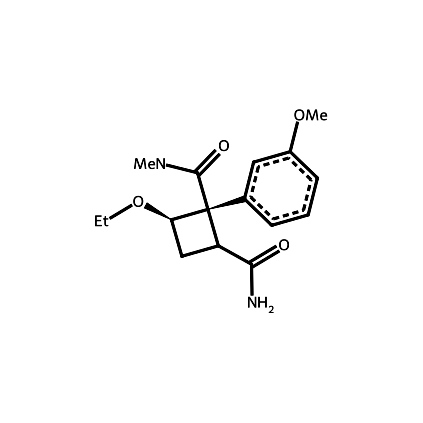 CCO[C@@H]1CC(C(N)=O)[C@]1(C(=O)NC)c1cccc(OC)c1